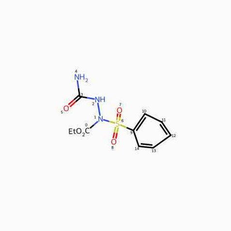 CCOC(=O)N(NC(N)=O)S(=O)(=O)c1ccccc1